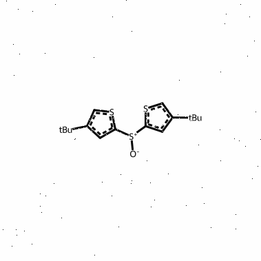 CC(C)(C)c1csc([S+]([O-])c2cc(C(C)(C)C)cs2)c1